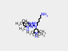 CC(C)(C)CC(C)(C)N/C(N)=N/C(=N)N(CCCCCCN)C1CC(C)(C)NC(C)(C)C1